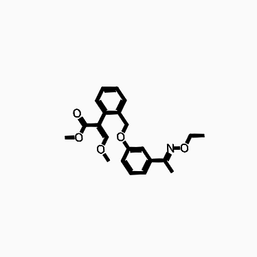 CCON=C(C)c1cccc(OCc2ccccc2C(=COC)C(=O)OC)c1